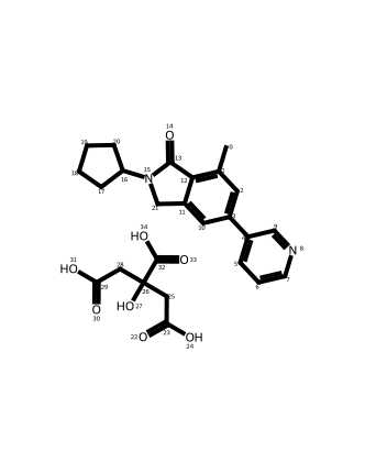 Cc1cc(-c2cccnc2)cc2c1C(=O)N(C1CCCC1)C2.O=C(O)CC(O)(CC(=O)O)C(=O)O